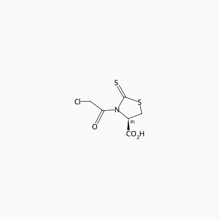 O=C(O)[C@@H]1CSC(=S)N1C(=O)CCl